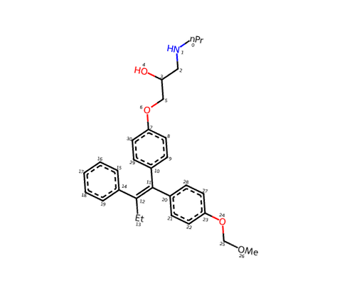 CCCNCC(O)COc1ccc(C(=C(CC)c2ccccc2)c2ccc(OCOC)cc2)cc1